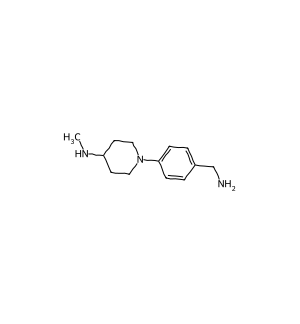 CNC1CCN(c2ccc(CN)cc2)CC1